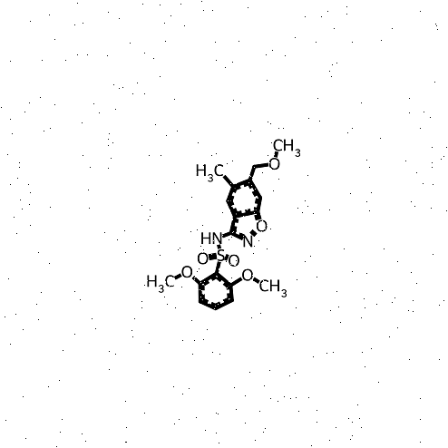 COCc1cc2onc(NS(=O)(=O)c3c(OC)cccc3OC)c2cc1C